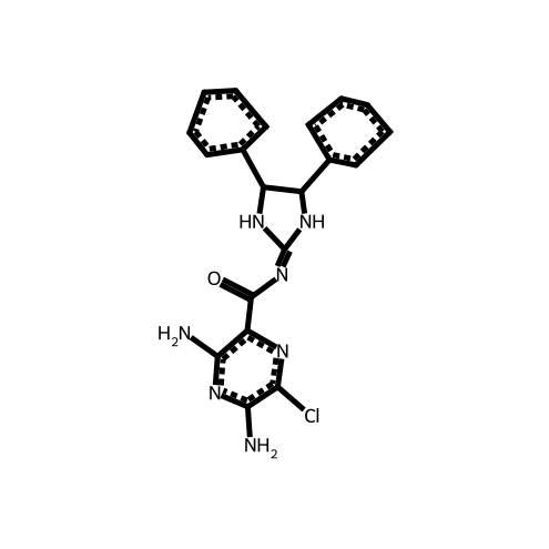 Nc1nc(N)c(C(=O)N=C2NC(c3ccccc3)C(c3ccccc3)N2)nc1Cl